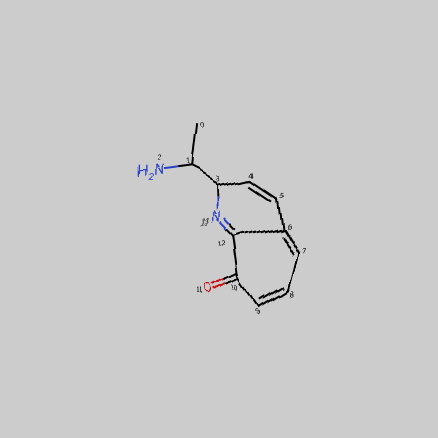 CC(N)C1C=CC2=CC=CC(=O)C2=N1